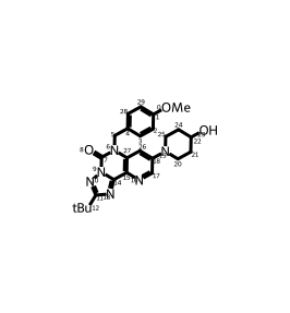 COc1ccc(Cn2c(=O)n3nc(C(C)(C)C)nc3c3ncc(N4CCC(O)CC4)cc32)cc1